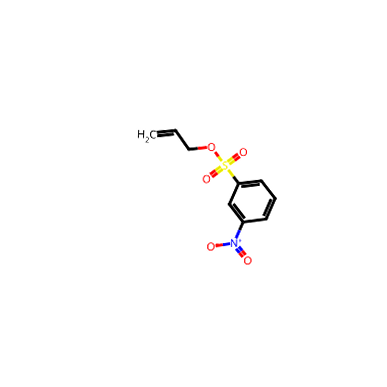 C=CCOS(=O)(=O)c1cccc([N+](=O)[O-])c1